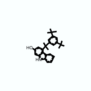 CC(C)(C)c1cc(C(C)(C)C)cc(C(C)(C)c2cc(O)cc3[nH]c4ccccc4c23)c1